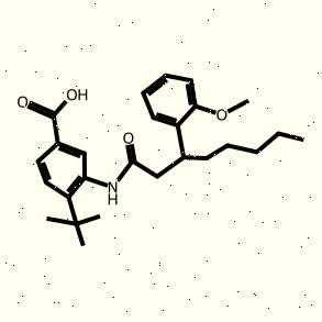 CCCCCC(CC(=O)Nc1cc(C(=O)O)ccc1C(C)(C)C)c1ccccc1OC